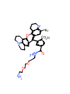 CCCCc1cc2c(c3c1=NCCC3)Oc1c(cc3c4c1CCCN4CCC3)C=2c1cc(C(=O)NCCOCCOCCN)ccc1C(=O)O